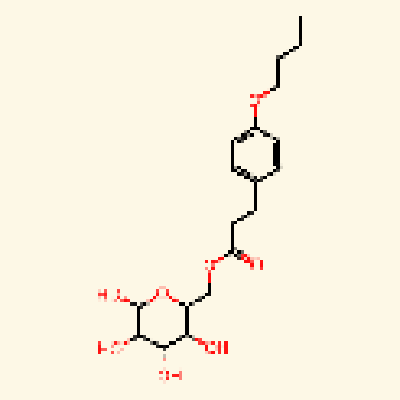 CCCCOc1ccc(CCC(=O)OCC2O[C@H](O)C(O)[C@@H](O)[C@@H]2O)cc1